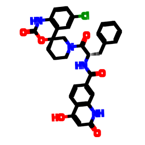 O=C1Nc2ccc(Cl)cc2[C@@]2(CCCN(C(=O)[C@H](Cc3ccccc3)NC(=O)c3ccc4c(O)cc(=O)[nH]c4c3)C2)O1